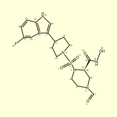 O=CN1CCN(S(=O)(=O)N2CCC(c3c[nH]c4ccc(F)cc34)CC2)[C@@H](C(=O)NO)C1